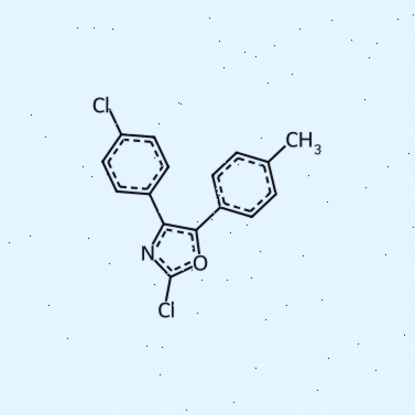 Cc1ccc(-c2oc(Cl)nc2-c2ccc(Cl)cc2)cc1